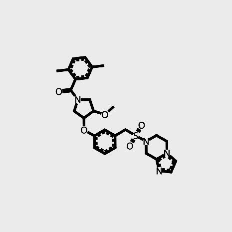 COC1CN(C(=O)c2cc(C)ccc2C)CC1Oc1cccc(CS(=O)(=O)N2CCn3ccnc3C2)c1